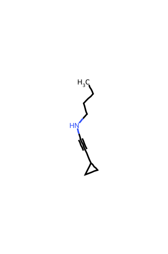 CCCCNC#CC1CC1